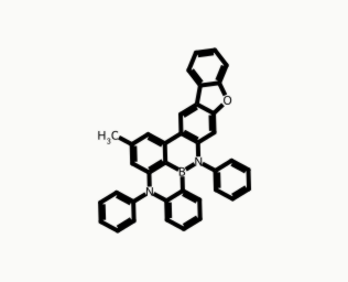 Cc1cc2c3c(c1)N(c1ccccc1)c1ccccc1B3N(c1ccccc1)c1cc3oc4ccccc4c3cc1-2